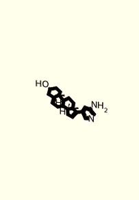 C[C@]12CC[C@H](O)CC1=CC[C@@H]1[C@@H]2CC[C@]2(C)C(c3cncc(N)c3)=CC[C@@]12C